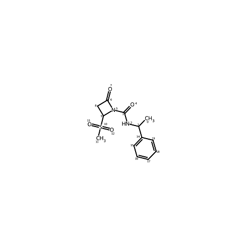 CC(NC(=O)N1C(=O)CC1S(C)(=O)=O)c1ccccc1